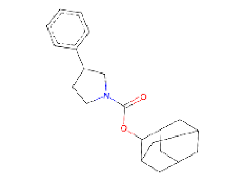 O=C(OC1C2CC3CC(C2)CC1C3)N1CCC(c2ccccc2)C1